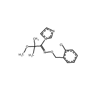 COC(C)(C)C(=NOCc1ccccc1Cl)n1ccnc1